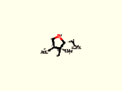 CC(=O)OC[C@H]1OC[C@H](OC(C)=O)[C@@]1(C)OC(C)=O